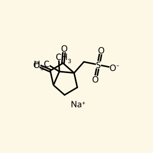 CC1(C)C2CCC1(CS(=O)(=O)[O-])C(=O)C2=O.[Na+]